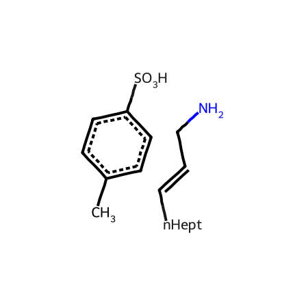 CCCCCCCC=CCN.Cc1ccc(S(=O)(=O)O)cc1